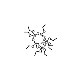 CCO[Si]1(OCC)O[Si](OCC)(OCC)O[Si]2(OCC)O[Si](OCC)(OCC)O[Si](OCC)(O1)O[Si](OCC)(OCC)O2